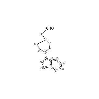 O=COC1CCC(c2c[nH]c3ccccc23)CC1